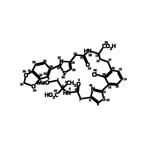 COCC(C)(NC(=O)Cc1csc(-c2cccc(CCC(NC(=O)Cc3csc(-c4ccc5c(c4)OCO5)n3)C(=O)O)c2Cl)n1)C(=O)O